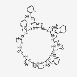 Cc1ccccc1/C=C/C(=O)N[C@@H]1C(=O)N[C@@H](CO)C(=O)N[C@@H](Cc2c[nH]c3ccccc23)C(=O)N[C@H](CC(N)=O)C(=O)N[C@@H]([C@@H](O)c2ccccc2)C(=O)N2CCC[C@H]2C(=O)N[C@H](C(C)C)C(=O)NCC(=O)N[C@H](CC(C)C)C(=O)N[C@H](Cc2ccc(O)cc2)C(=O)O[C@@H]1C